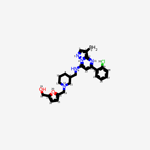 Bc1cnn2c(NCC3CCCN(Cc4ccc(CO)o4)C3)cc(-c3ccccc3Cl)nc12